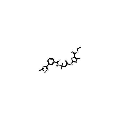 CCOC(=O)c1sc(NC(=O)CC(C)(C)NC(=O)c2cccc(-c3noc(C)n3)c2)nc1C